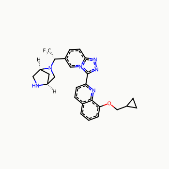 FC(F)(F)[C@H](c1ccc2nnc(-c3ccc4cccc(OCC5CC5)c4n3)n2c1)N1C[C@@H]2C[C@H]1CN2